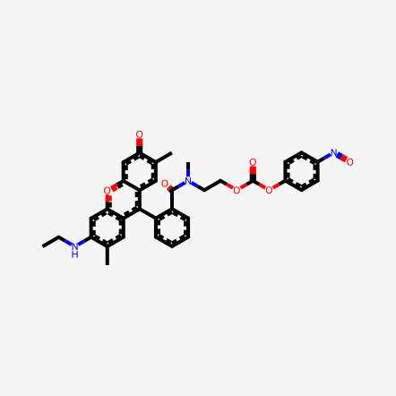 CCNc1cc2oc3cc(=O)c(C)cc-3c(-c3ccccc3C(=O)N(C)CCOC(=O)Oc3ccc(N=O)cc3)c2cc1C